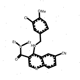 CCN(CC)C(=O)c1cnc2ccc(C#N)cc2c1NCc1ccc(OC)c(Cl)c1